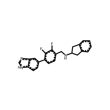 Fc1c(CNC2Cc3ccccc3C2)ccc(-c2ccc3[nH]cnc3c2)c1F